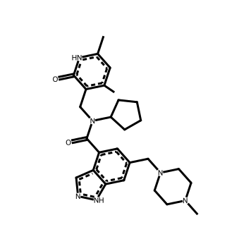 Cc1cc(C)c(CN(C(=O)c2cc(CN3CCN(C)CC3)cc3[nH]ncc23)C2CCCC2)c(=O)[nH]1